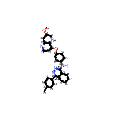 COc1cnc2c(Oc3ccc(Nc4nnc(-c5ccc(C)cc5)c5ccccc45)cc3)ccnc2c1